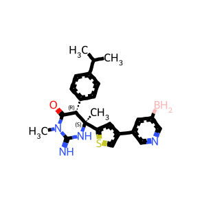 Bc1cncc(-c2csc([C@@]3(C)NC(=N)N(C)C(=O)[C@@H]3c3ccc(C(C)C)cc3)c2)c1